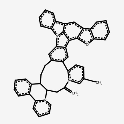 C=C1CC2C(CCc3cc4c(cc3-c3ccc(C)c[n+]31)c1c3oc5ccccc5c3cc3c5ccccc5n4c31)c1ccccc1-c1cccc[n+]12